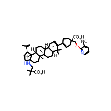 C=C(C)[C@@H]1CC[C@]2(NCC(C)(C)C(=O)O)CC[C@]3(C)[C@H](CC[C@@H]4[C@@]5(C)CC=C(C6=CC[C@](COc7ncccc7C#N)(C(=O)O)CC6)C(C)(C)[C@@H]5CC[C@]43C)[C@@H]12